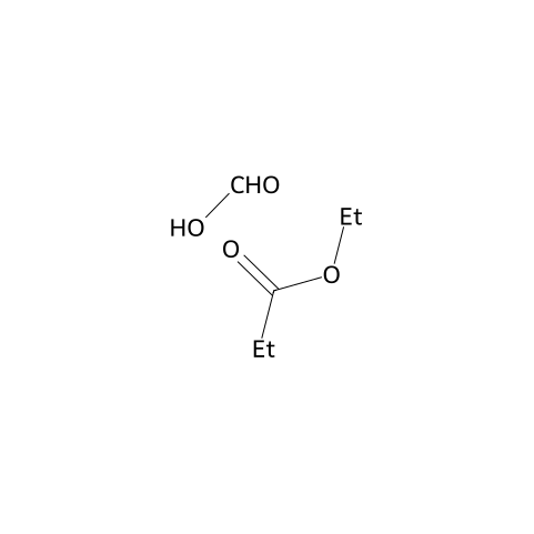 CCOC(=O)CC.O=CO